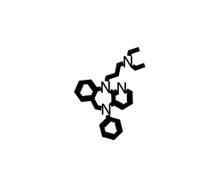 CCN(CC)CCCN1c2ccccc2CN(c2ccccc2)c2cccnc21